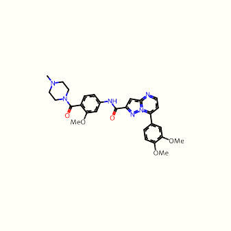 COc1ccc(-c2ccnc3cc(C(=O)Nc4ccc(C(=O)N5CCN(C)CC5)c(OC)c4)nn23)cc1OC